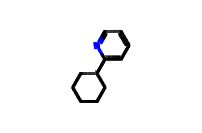 c1ccc([C]2CCCCC2)nc1